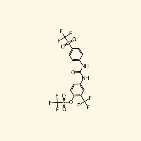 O=C(Nc1ccc(S(=O)(=O)C(F)(F)F)cc1)Nc1ccc(OS(=O)(=O)C(F)(F)F)c(C(F)(F)F)c1